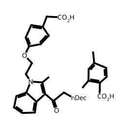 CCCCCCCCCCCC(=O)c1c(C)n(CCOc2ccc(CC(=O)O)cc2)c2ccccc12.Cc1ccc(C(=O)O)c(C)c1